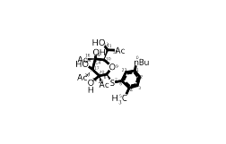 CCCCc1ccc(C)c(S[C@@H]2O[C@H](C(O)C(C)=O)[C@](O)(C(C)=O)[C@@](O)(C(C)=O)[C@]2(O)C(C)=O)c1